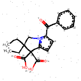 CCC1(CC)Cn2c(C(=O)c3ccccc3)ccc2C1(C(=O)O)C(=O)O